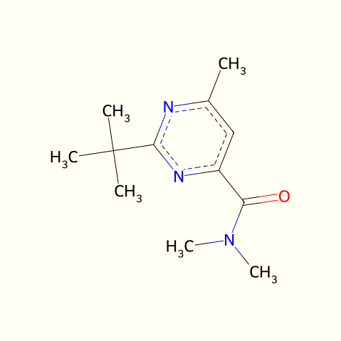 Cc1cc(C(=O)N(C)C)nc(C(C)(C)C)n1